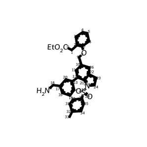 CCOC(=O)Cc1ccccc1OCc1cc(-c2cccc(CN)c2)c2c(ccn2S(=O)(=O)c2ccc(C)cc2)c1